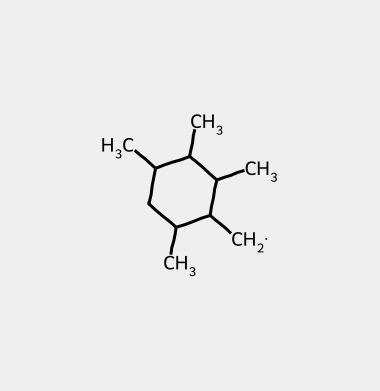 [CH2]C1C(C)CC(C)C(C)C1C